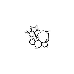 O=C1c2c(O)c(=O)ccn2N2CN1CC1CC1COc1cccc3c1C2c1ccccc1SC3